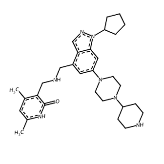 Cc1cc(C)c(CNCc2cc(N3CCN(C4CCNCC4)CC3)cc3c2cnn3C2CCCC2)c(=O)[nH]1